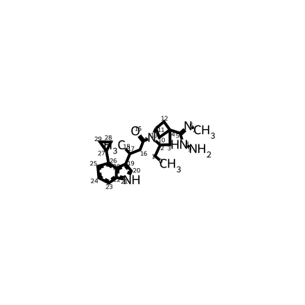 CCC1CC2(/C(=N/C)NN)CC(C2)N1C(=O)CC(C)c1c[nH]c2cccc(C3CC3)c12